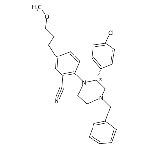 COCCCc1ccc(N2CCN(Cc3ccccc3)C[C@H]2c2ccc(Cl)cc2)c(C#N)c1